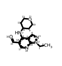 CCn1ncc2c(NC3CCOCC3)c(C=O)cnc21